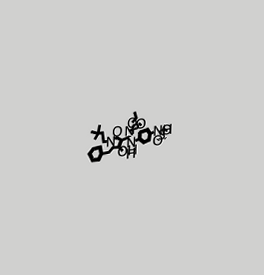 CCOP1(=O)N=C(C2=C(O)C(Cc3ccccc3)N(CCC(C)(C)C)C2=O)Nc2ccc(NS(C)(=O)=O)cc21